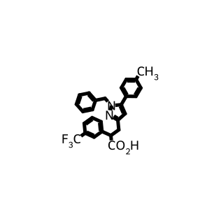 Cc1ccc(-c2cc(CC(C(=O)O)c3cccc(C(F)(F)F)c3)nn2Cc2ccccc2)cc1